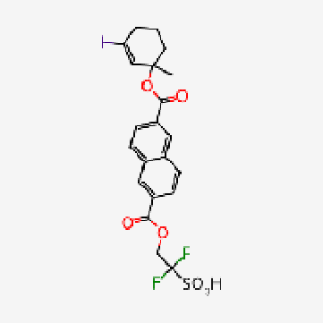 CC1(OC(=O)c2ccc3cc(C(=O)OCC(F)(F)S(=O)(=O)O)ccc3c2)C=C(I)CCC1